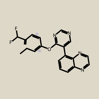 C=C(/C=C\C(=C/CC)Oc1ncncc1-c1cccc2nccnc12)C(F)F